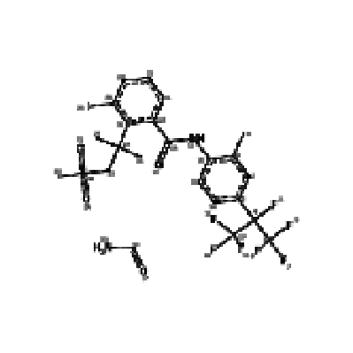 Cc1cc(C(F)(C(F)(F)F)C(F)(F)F)ccc1NC(=O)c1cccc(I)c1C(C)(C)CS(C)(=O)=O.NC=O